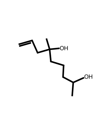 C=CCC(C)(O)CCCC(C)O